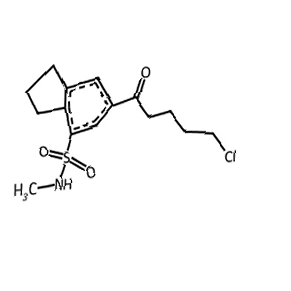 CNS(=O)(=O)c1cc(C(=O)CCCCCl)cc2c1CCC2